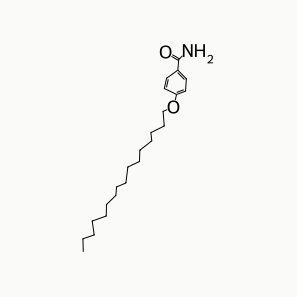 CCCCCCCCCCCCCCCCOc1ccc(C(N)=O)cc1